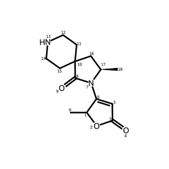 CC1OC(=O)C=C1N1C(=O)C2(CCNCC2)C[C@H]1C